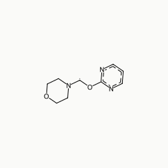 [CH](Oc1ncccn1)N1CCOCC1